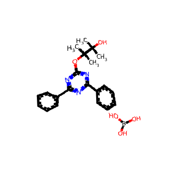 CC(C)(O)C(C)(C)Oc1nc(-c2ccccc2)nc(-c2ccccc2)n1.OB(O)O